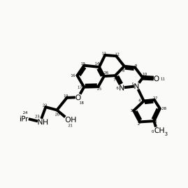 Cc1ccc(-n2nc3c(cc2=O)CCc2ccc(OCC(O)CNC(C)C)cc2-3)cc1